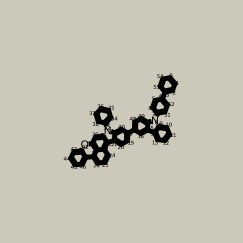 c1ccc(-c2ccc(-n3c4ccccc4c4cc(-c5ccc6c7c8cccc9c8c(cc7n(-c7ccccc7)c6c5)Oc5ccccc5-9)ccc43)cc2)cc1